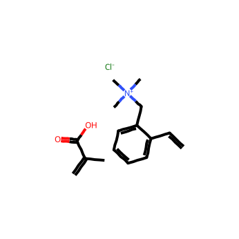 C=C(C)C(=O)O.C=Cc1ccccc1C[N+](C)(C)C.[Cl-]